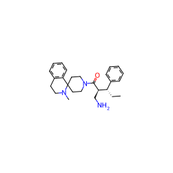 CC[C@@H](c1ccccc1)[C@@H](CN)C(=O)N1CCC2(CC1)c1ccccc1CCN2C